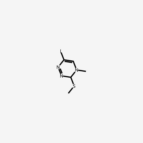 CSC1N=NC(I)=CN1C